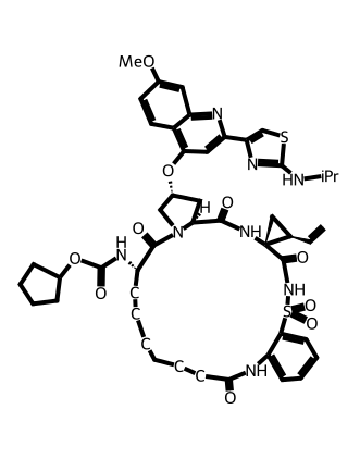 C=C[C@@H]1C[C@@]12NC(=O)[C@@H]1C[C@@H](Oc3cc(-c4csc(NC(C)C)n4)nc4cc(OC)ccc34)CN1C(=O)[C@@H](NC(=O)OC1CCCC1)CCCCCCC(=O)Nc1ccccc1S(=O)(=O)NC2=O